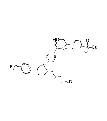 CCS(=O)(=O)c1ccc([C@H](CO)NC(=O)c2ccc(N3CC(c4ccc(C(F)(F)F)cc4)CC[C@H]3COCCC#N)cc2)cc1